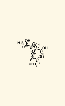 O=S(O)S(=O)O.O=S(O)S(=O)O.O=S(O)S(=O)O.P.P